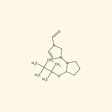 CC(C)(C)[Si](C)(C)OC1CCCN1N1C=CN(C=O)C1